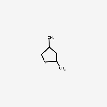 CC1C[N]C(C)C1